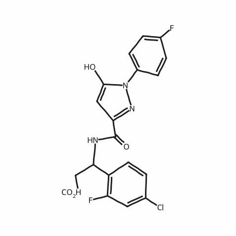 O=C(O)CC(NC(=O)c1cc(O)n(-c2ccc(F)cc2)n1)c1ccc(Cl)cc1F